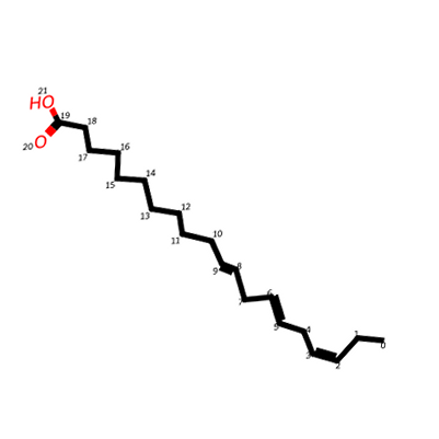 CC/C=C\CC=CCC=CCCCCCCCCCC(=O)O